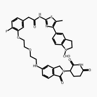 Cc1sc(NC(=O)Cc2ccc(F)c(OCCOCCNc3ccc4c(c3)CN(C3CCC(=O)NC3=O)C4=O)c2)nc1-c1ccc2c(c1)CCN2C=O